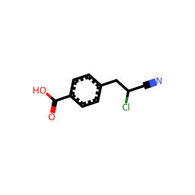 N#CC(Cl)Cc1ccc(C(=O)O)cc1